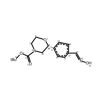 CC(C)(C)OC(=O)N1CCO[C@H](c2ccc(C=NO)cc2)C1